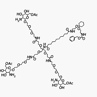 CC(=O)OCC1OC(OCCOCCOCCNC(=O)CCOCC(COCCC(=O)NCCOCCOCCOC2OC(COC(C)=O)C(O)C(O)C2N)(COCCC(=O)NCCOCCOCCOC2OC(COC(C)=O)C(O)C(O)C2N)NC(=O)CCCCCCCCCCC(=O)NCCOC2(OCCNC(=O)OCc3ccccc3)CCCCC2)C(N)C(O)C1O